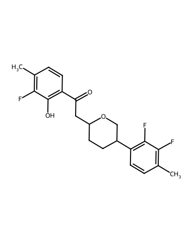 Cc1ccc(C(=O)CC2CCC(c3ccc(C)c(F)c3F)CO2)c(O)c1F